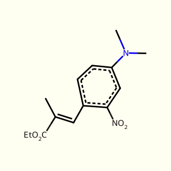 CCOC(=O)C(C)=Cc1ccc(N(C)C)cc1[N+](=O)[O-]